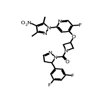 Cc1nn(-c2cc(OC3CN(C(=O)N4N=CCC4c4cc(F)cc(F)c4)C3)c(F)cn2)c(C)c1[N+](=O)[O-]